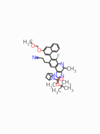 CCc1nc2c(C)nc3c(F)c(-c4cc(OCOC)cc5ccccc45)c(CCC#N)cc3c2n1C1C2CC1N(C(=O)OC(C)(C)C)C2